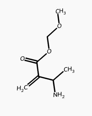 C=C(C(=O)OCOC)C(C)N